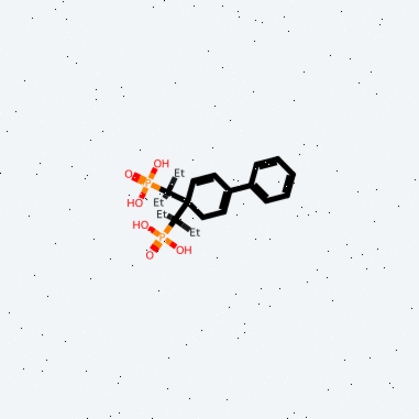 CCC(CC)(C1(C(CC)(CC)P(=O)(O)O)C=CC(c2ccccc2)=CC1)P(=O)(O)O